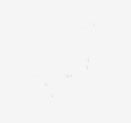 Cc1ccnc(N2CCOCC2)c1CNC(=O)c1cnnc(-c2ccc(OC(F)(F)F)cc2)c1